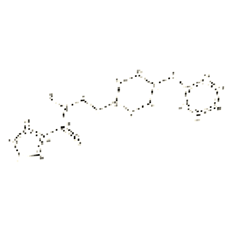 CN(CCC1CCN(Cc2ccccc2)CC1)C(=O)c1ccco1